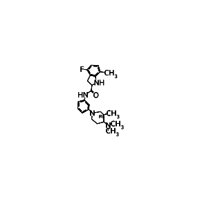 Cc1ccc(F)c2c1NC(C(=O)Nc1cccc(N3CCC(N(C)C)[C@H](C)C3)c1)C2